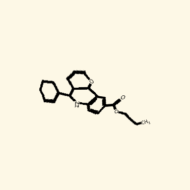 CCCOC(=O)c1ccc2c(c1)C1OCCCC1C(C1CCCCC1)N2